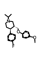 COc1ccc(OC[C@H]2CN(C(C)C)CC[C@@H]2c2ccc(F)cc2)cc1